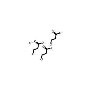 O=C([O-])CCCl.O=C([O-])CCCl.O=C([O-])CCCl.[Al+3]